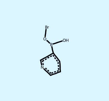 OB(OBr)c1cccnc1